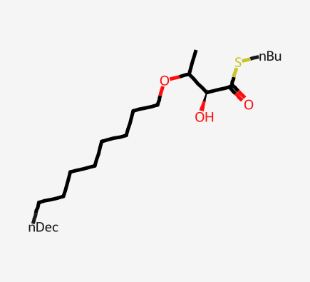 CCCCCCCCCCCCCCCCCCOC(C)[C@H](O)C(=O)SCCCC